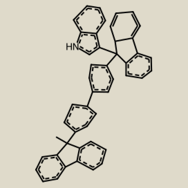 CC1(c2ccc(-c3ccc(C4(c5c[nH]c6ccccc56)c5ccccc5C5=C=CC=CC54)cc3)cc2)c2ccccc2-c2ccccc21